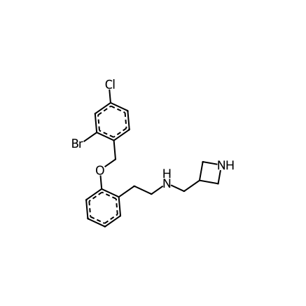 Clc1ccc(COc2ccccc2CCNCC2CNC2)c(Br)c1